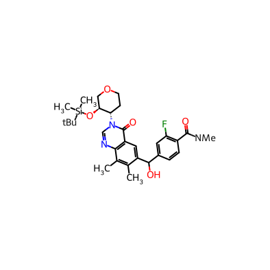 CNC(=O)c1ccc(C(O)c2cc3c(=O)n([C@H]4CCOC[C@@H]4O[Si](C)(C)C(C)(C)C)cnc3c(C)c2C)cc1F